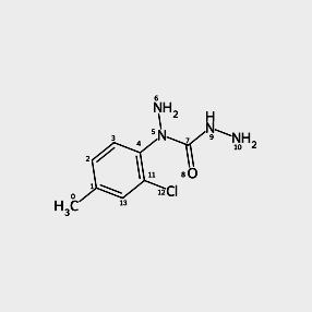 Cc1ccc(N(N)C(=O)NN)c(Cl)c1